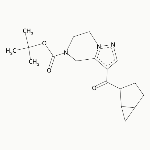 CC(C)(C)OC(=O)N1CCn2ncc(C(=O)C3CCC4CC43)c2C1